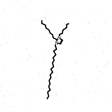 CCCCCCCCCCCCCCCCCCCN1C=CN(CCCCCC)C1CCCCCCCC